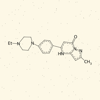 CCN1CCN(c2ccc(-c3cc(=O)n4nc(C)cc4[nH]3)cc2)CC1